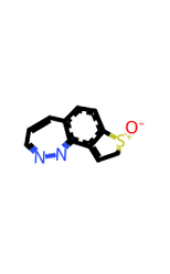 [O-][S+]1CC=c2c1ccc1c2=NN=CC=C1